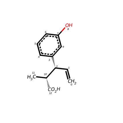 C=C[C@@H](c1cccc(O)c1)[C@@H](C)C(=O)O